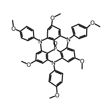 COc1ccc(N2c3cc(OC)cc4c3P3(=O)c5c2cc(OC)cc5N(c2ccc(OC)cc2)c2cc(OC)cc(c23)N4c2ccc(OC)cc2)cc1